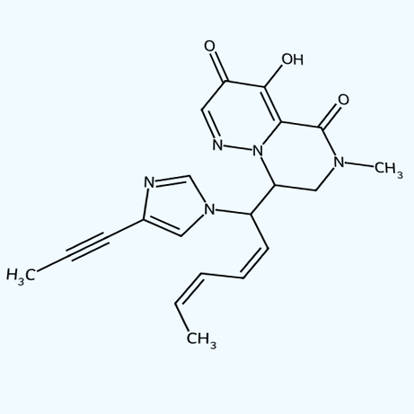 CC#Cc1cn(C(/C=C\C=C/C)C2CN(C)C(=O)c3c(O)c(=O)cnn32)cn1